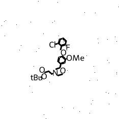 COc1cc(C2CN(CCC(=O)OC(C)(C)C)CCO2)ccc1OCc1c(F)cccc1Cl